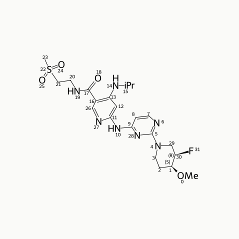 CO[C@H]1CCN(c2nccc(Nc3cc(NC(C)C)c(C(=O)NCCS(C)(=O)=O)cn3)n2)C[C@H]1F